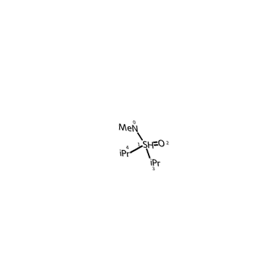 CN[SH](=O)(C(C)C)C(C)C